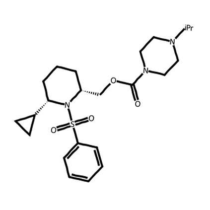 CC(C)N1CCN(C(=O)OC[C@H]2CCC[C@@H](C3CC3)N2S(=O)(=O)c2ccccc2)CC1